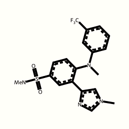 CNS(=O)(=O)c1ccc(N(C)c2cccc(C(F)(F)F)c2)c(-c2cn(C)cn2)c1